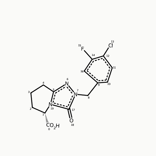 O=C(O)[C@@H]1CCCc2nn(Cc3ccc(Cl)c(F)c3)c(=O)n21